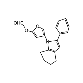 O=COc1cc(-n2c(-c3ccccc3)cc3c2CCCC3)co1